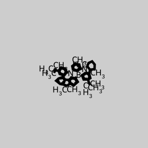 Cc1cc2c3c(c1)N1c4c(cc(C(C)(C)C)cc4C4(C)CCCCC14C)B3c1ccc3c(c1N2c1ccc(C(C)(C)C)cc1)-c1ccccc1C3(C)C